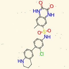 Cc1cc2[nH]c(=O)c(=O)[nH]c2cc1S(=O)(=O)Nc1ccc(-c2ccc3c(c2)CCCN3)c(Cl)c1